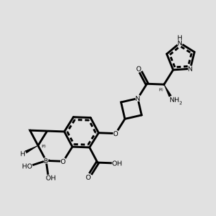 N[C@@H](C(=O)N1CC(Oc2ccc3c(c2C(=O)O)O[B-](O)(O)[C@@H]2CC32)C1)c1c[nH]cn1